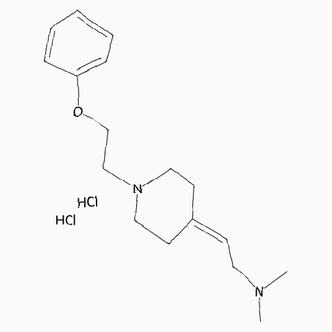 CN(C)CC=C1CCN(CCOc2ccccc2)CC1.Cl.Cl